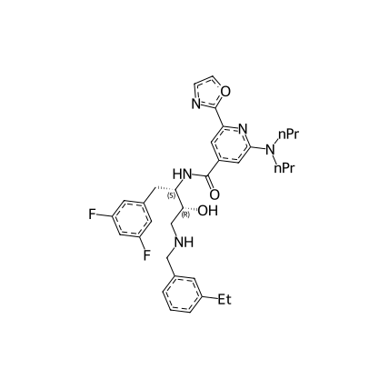 CCCN(CCC)c1cc(C(=O)N[C@@H](Cc2cc(F)cc(F)c2)[C@H](O)CNCc2cccc(CC)c2)cc(-c2ncco2)n1